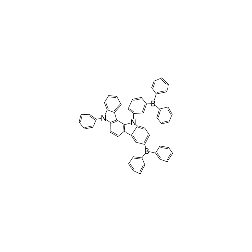 c1ccc(B(c2ccccc2)c2cccc(-n3c4ccc(B(c5ccccc5)c5ccccc5)cc4c4ccc5c(c6ccccc6n5-c5ccccc5)c43)c2)cc1